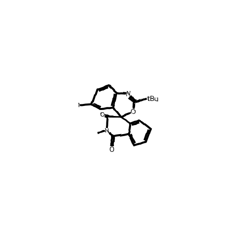 CN1C(=O)c2ccccc2C2(OC(C(C)(C)C)=Nc3ccc(I)cc32)C1=O